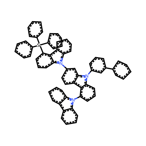 c1ccc(-c2cccc(-n3c4cc(-n5c6ccccc6c6c([Si](c7ccccc7)(c7ccccc7)c7ccccc7)cccc65)ccc4c4c(-n5c6ccccc6c6ccccc65)cccc43)c2)cc1